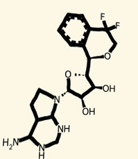 NC1NCNC2C1CCN2[C@@H]1O[C@H]([C@@H]2OCC(F)(F)c3ccccc32)[C@@H](O)[C@H]1O